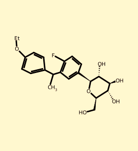 CCOc1ccc(C(C)c2cc([C@@H]3O[C@H](CO)[C@@H](O)[C@H](O)[C@H]3O)ccc2F)cc1